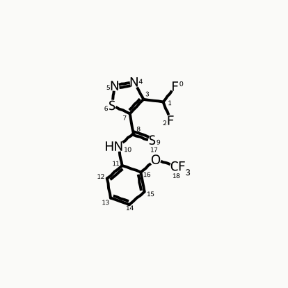 FC(F)c1nnsc1C(=S)Nc1ccccc1OC(F)(F)F